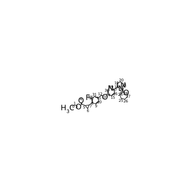 CCOC(=O)C1CC1c1ccc(COc2ccc(-c3ccnn3C3CCCCO3)nc2)cc1F